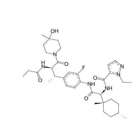 CCC(=O)N[C@@H](C(=O)N1CCC(C)(O)CC1)[C@@H](C)c1ccc(NC(=O)[C@@H](NC(=O)c2ccnn2CC)[C@]2(C)CC[C@H](C)CC2)c(F)c1